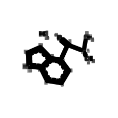 CN(C)C(=O)c1cccc2[nH]ccc12.Cl